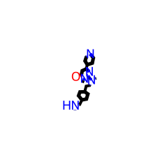 CNCc1ccc(CCN(C)c2nc(-c3ccncc3)cc(=O)n2C)cc1